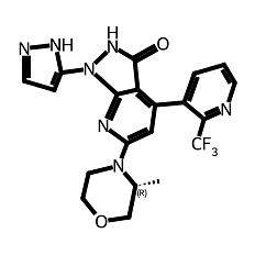 C[C@@H]1COCCN1c1cc(-c2cccnc2C(F)(F)F)c2c(=O)[nH]n(-c3ccn[nH]3)c2n1